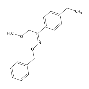 CCc1ccc(/C(COC)=N/OCc2ccccc2)cc1